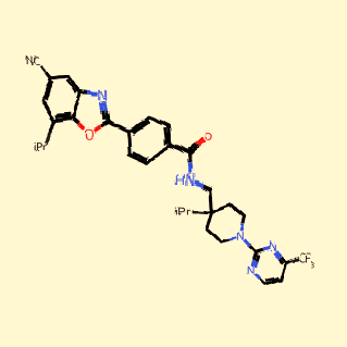 CC(C)c1cc(C#N)cc2nc(-c3ccc(C(=O)NCC4(C(C)C)CCN(c5nccc(C(F)(F)F)n5)CC4)cc3)oc12